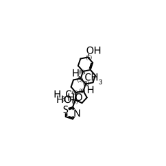 C[C@]12CC[C@H]3[C@@H](CCC4=C[C@@H](O)CC[C@@]43C)[C@@]1(O)CC[C@]2(O)c1nccs1